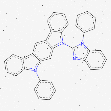 c1ccc(-n2c(-n3c4ccccc4c4cc5c6ccccc6n(-c6ccccc6)c5cc43)nc3ccccc32)cc1